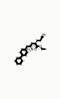 CCOC(=O)[C@H](CCC#N)C[C@H](N)Cc1ccc(-c2ccccc2)cc1